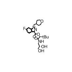 CC(C)(C)[C@H](OC(=O)c1nn(CC2CCOCC2)c2cc(F)ccc12)C(=O)NC[C@H](O)CO